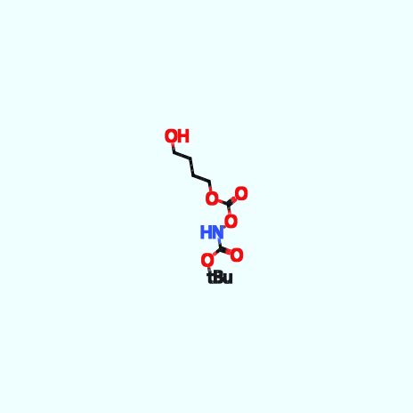 CC(C)(C)OC(=O)NOC(=O)OCCCCO